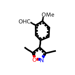 COc1ccc(-c2c(C)noc2C)cc1C=O